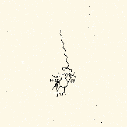 CCCCCCCCCCCC(=O)O[C@@]12C[C@@H](C)[C@]34C=C(C)[C@@H]5OC(C)(C)O[C@@]53[C@@H]3OC(C)(C)OCC3=C[C@H](C4O)[C@@H]1C2(C)C